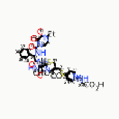 CCN1CCN(C(=O)N[C@@H](C(=O)N[C@]2(NC=O)C(=O)N3C(C(=O)[O-])=C(CSc4cc[n+](NCC(=O)O)cc4)CS[C@@H]32)c2ccccc2)C(=O)C1=O